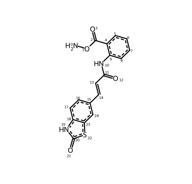 NOC(=O)c1ccccc1NC(=O)/C=C/c1ccc2[nH]c(=O)sc2c1